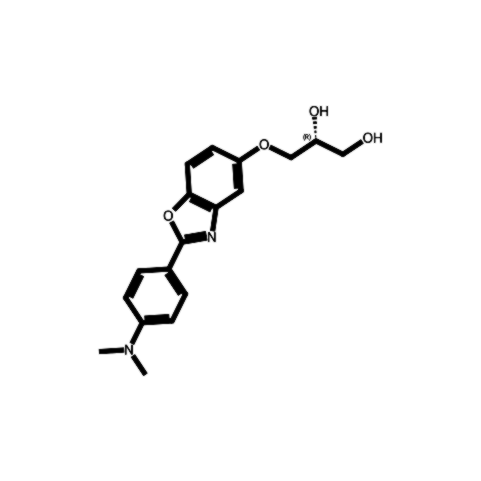 CN(C)c1ccc(-c2nc3cc(OC[C@H](O)CO)ccc3o2)cc1